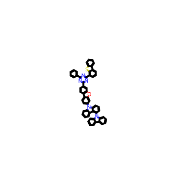 c1ccc(-c2nc(-c3ccc4c(c3)oc3cc(-n5c6ccccc6c6c(-n7c8ccccc8c8ccccc87)cccc65)ccc34)nc(-c3cccc4c3sc3ccccc34)n2)cc1